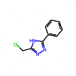 ClCc1nnc(-c2ccccc2)[nH]1